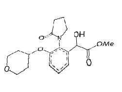 COC(=O)C(O)c1cccc(OC2CCOCC2)c1N1CCCC1=O